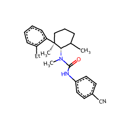 CCc1ccccc1[C@@]1(C)CCCC(C)[C@@H]1N(C)C(=O)Nc1ccc(C#N)cc1